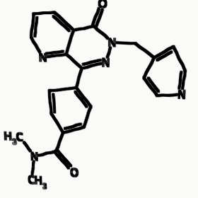 CN(C)C(=O)c1ccc(-c2nn(Cc3ccncc3)c(=O)c3cccnc23)cc1